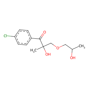 CC(O)COCC(C)(O)C(=O)c1ccc(Cl)cc1